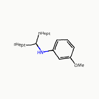 CCCCCCCC(CCCCCCC)Nc1cccc(OC)c1